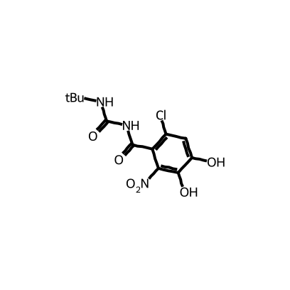 CC(C)(C)NC(=O)NC(=O)c1c(Cl)cc(O)c(O)c1[N+](=O)[O-]